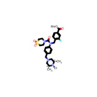 CCN1[C@H](C)CN(Cc2ccc(N(Cc3ccc(C(=O)OC)cc3F)C(=O)N3CCS(=O)(=O)CC3)cc2)C[C@@H]1C